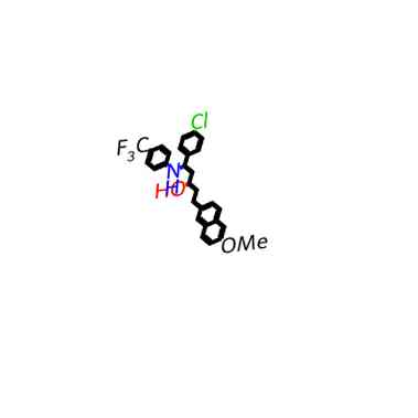 COc1ccc2cc(CCC(O)CC(Nc3ccc(C(F)(F)F)cc3)c3ccc(Cl)cc3)ccc2c1